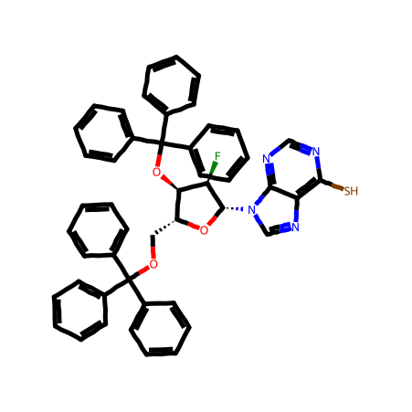 F[C@@H]1[C@H](OC(c2ccccc2)(c2ccccc2)c2ccccc2)[C@@H](COC(c2ccccc2)(c2ccccc2)c2ccccc2)O[C@H]1n1cnc2c(S)ncnc21